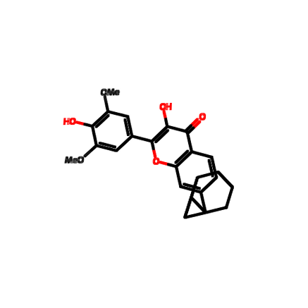 COc1cc(-c2oc3cc(C45CCCC6C4C65)ccc3c(=O)c2O)cc(OC)c1O